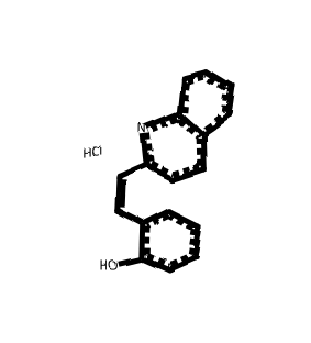 Cl.Oc1ccccc1/C=C\c1ccc2ccccc2n1